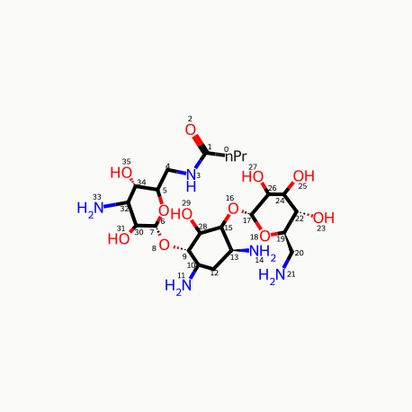 CCCC(=O)NCC1O[C@H](O[C@H]2C(N)C[C@H](N)C(O[C@H]3O[C@H](CN)[C@@H](O)C(O)C3O)C2O)C(O)C(N)[C@@H]1O